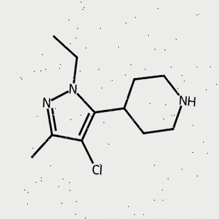 CCn1nc(C)c(Cl)c1C1CCNCC1